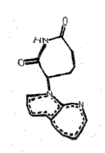 O=C1CCC(n2ccc3cccnc32)C(=O)N1